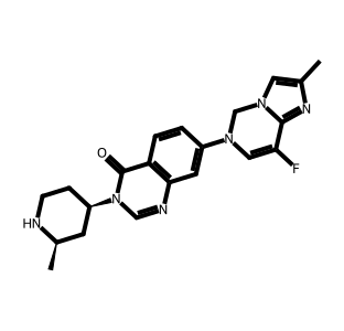 Cc1cn2c(n1)C(F)=CN(c1ccc3c(=O)n([C@@H]4CCN[C@H](C)C4)cnc3c1)C2